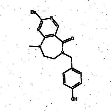 CCC(C)c1ncc2c(n1)N(C)CCN(Cc1ccc(O)cc1)C2=O